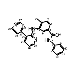 Cc1ccc(C(=O)Nc2ccccc2)cc1Nc1ncccc1-c1ccncn1